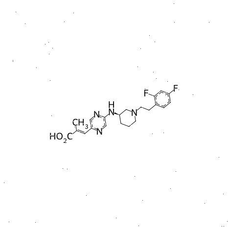 CC(=Cc1cnc(N[C@@H]2CCCN(CCc3ccc(F)cc3F)C2)cn1)C(=O)O